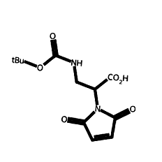 CC(C)(C)OC(=O)NCC(C(=O)O)N1C(=O)C=CC1=O